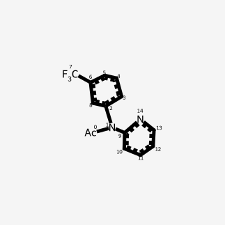 CC(=O)N(c1cccc(C(F)(F)F)c1)c1ccccn1